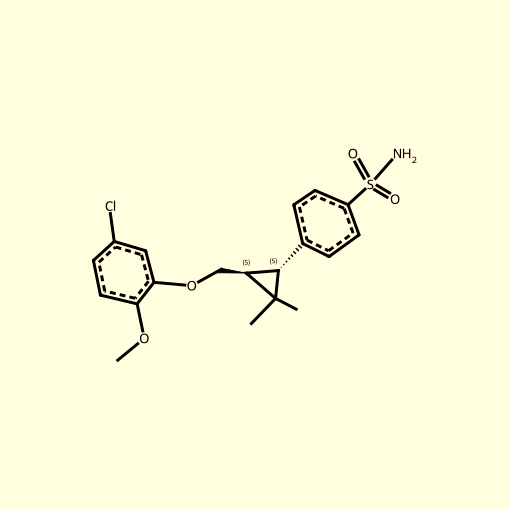 COc1ccc(Cl)cc1OC[C@H]1[C@H](c2ccc(S(N)(=O)=O)cc2)C1(C)C